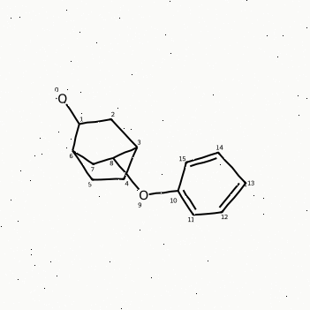 [O]C1CC2CCC1CC2Oc1cc[c]cc1